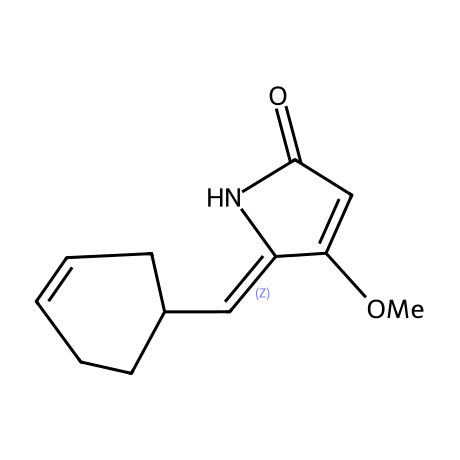 COC1=CC(=O)N/C1=C\C1CC=CCC1